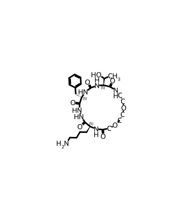 CC(O)[C@@H]1NC(=O)N[C@@H](Cc2ccccc2)C(=O)NNC(=O)[C@H](CCCCN)NC(=O)COCCOCCNC1=O